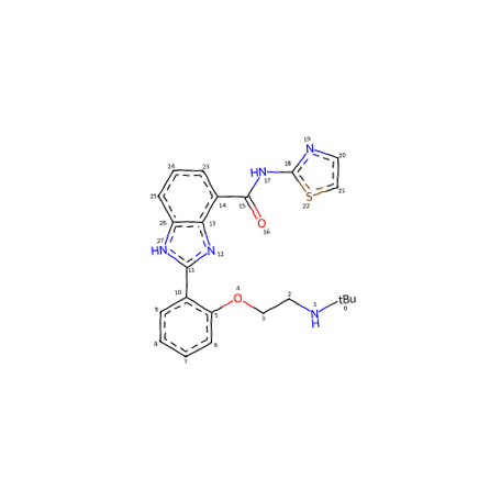 CC(C)(C)NCCOc1ccccc1-c1nc2c(C(=O)Nc3nccs3)cccc2[nH]1